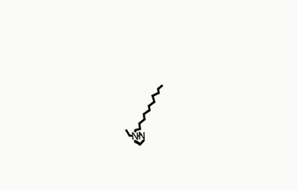 CCCCCCCCCCCC[N+]1(CC)C=CC=N1